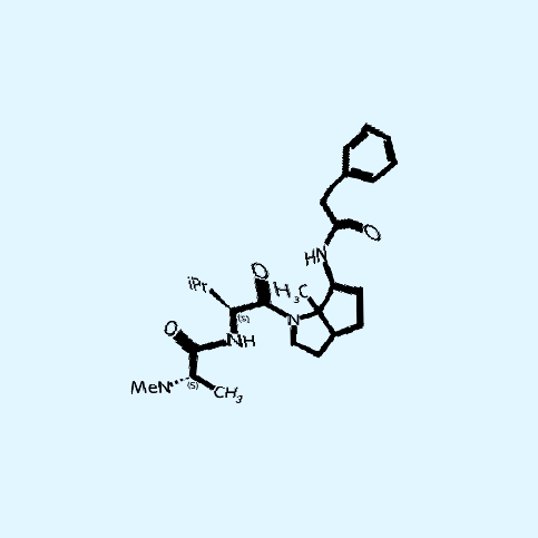 CN[C@@H](C)C(=O)N[C@H](C(=O)N1CCC2CCC(NC(=O)Cc3ccccc3)C21C)C(C)C